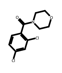 O=C(c1ccc(Cl)[c]c1Cl)N1CCOCC1